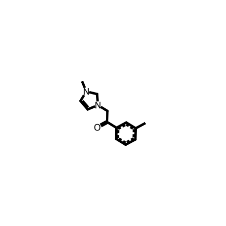 Cc1cccc(C(=O)CN2C=CN(C)C2)c1